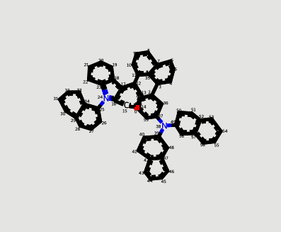 c1cc(-c2cccc3cccc(-c4cccc5c4c4ccccc4n5-c4cccc5ccccc45)c23)cc(N(c2ccc3ccccc3c2)c2ccc3ccccc3c2)c1